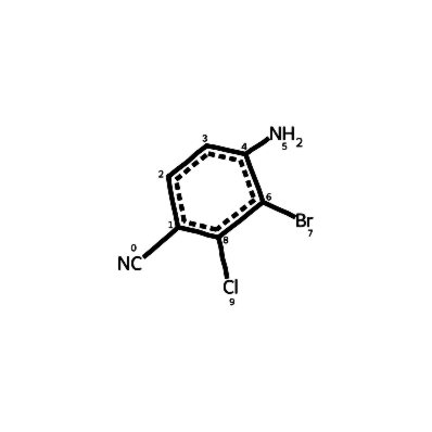 N#Cc1ccc(N)c(Br)c1Cl